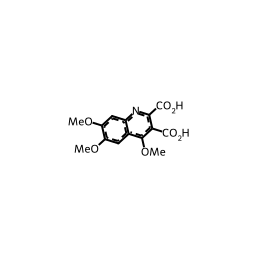 COc1cc2nc(C(=O)O)c(C(=O)O)c(OC)c2cc1OC